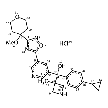 COC1(c2noc(-c3cncc([C@@](O)(c4ccc(C5CC5)cc4)C4(C)CNC4)c3)n2)CCOCC1.Cl